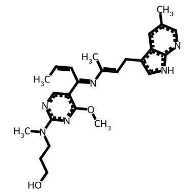 C\C=C/C(=N\C(C)=C\Cc1c[nH]c2ncc(C)cc12)c1cnc(N(C)CCCO)nc1OC